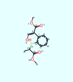 COC(=O)/C(=C/O)c1ccccc1SC(C)C(=O)OC